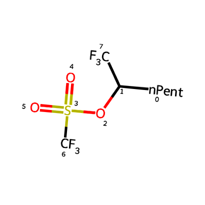 CCCCCC(OS(=O)(=O)C(F)(F)F)C(F)(F)F